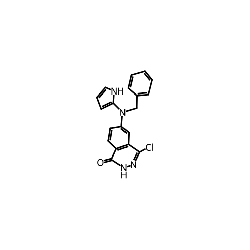 O=c1[nH]nc(Cl)c2cc(N(Cc3ccccc3)c3ccc[nH]3)ccc12